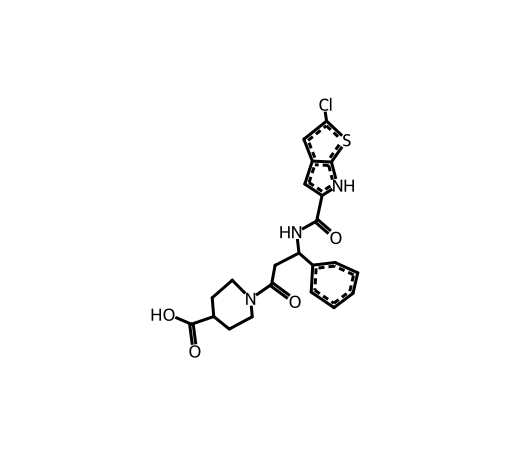 O=C(NC(CC(=O)N1CCC(C(=O)O)CC1)c1ccccc1)c1cc2cc(Cl)sc2[nH]1